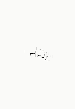 C=C(C)CNCC[N+](C)(C)C.Cl.N